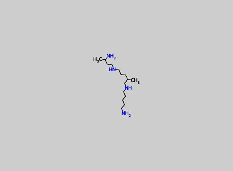 CC(N)CCNCCCC(C)CNCCCCCN